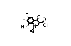 Cc1c(F)c(F)cc2c(=O)c(C(=O)O)cn(C3CC3)c12